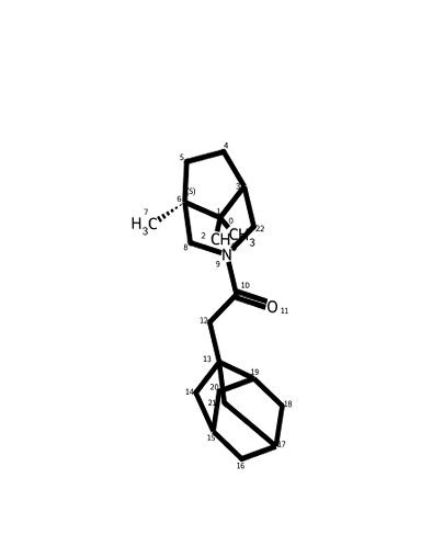 CC1(C)C2CC[C@]1(C)CN(C(=O)CC13CC4CC(CC1C4)C3)C2